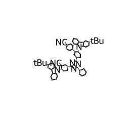 CC(C)(C)c1ccc2c(c1)c1ccccc1n2-c1ccc(-c2nc(-c3ccccc3)nc(-c3ccc(-n4c5ccccc5c5cc(C(C)(C)C)ccc54)c(-c4ccc(C#N)cc4)c3)n2)cc1C#N